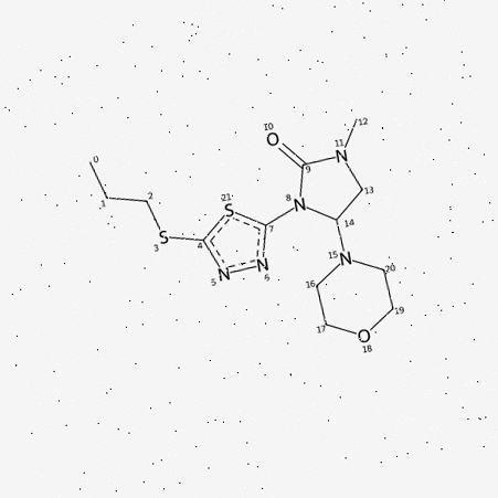 CCCSc1nnc(N2C(=O)N(C)CC2N2CCOCC2)s1